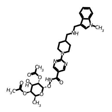 CC(=O)O[C@@H]1[C@H](ONC(=O)c2cnc(N3CCC(CNCc4cn(C)c5ccccc45)CC3)nc2)O[C@@H](C)[C@@H](OC(C)=O)[C@H]1O